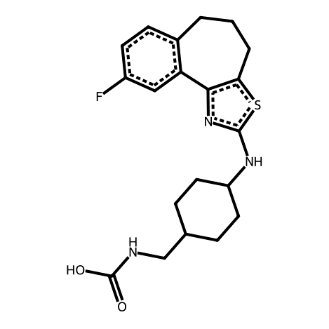 O=C(O)NCC1CCC(Nc2nc3c(s2)CCCc2ccc(F)cc2-3)CC1